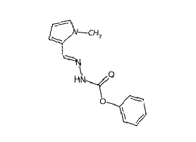 Cn1cccc1C=NNC(=O)Oc1ccccc1